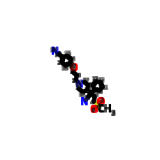 CS(=O)(=O)CCC(C#N)(c1ccccc1)C1CCN(CCCOc2ccc(C#N)cc2)CC1